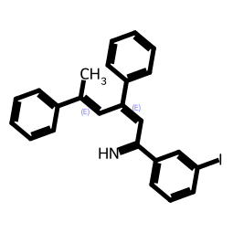 C/C(=C\C(=C/C(=N)c1cccc(I)c1)c1ccccc1)c1ccccc1